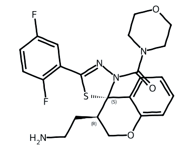 NCC[C@@H]1COc2ccccc2[C@@]12SC(c1cc(F)ccc1F)=NN2C(=O)N1CCOCC1